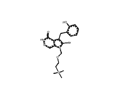 C[Si](C)(C)CCOCn1c(Br)c(Cc2ccccc2O)c2c(=O)[nH]ncc21